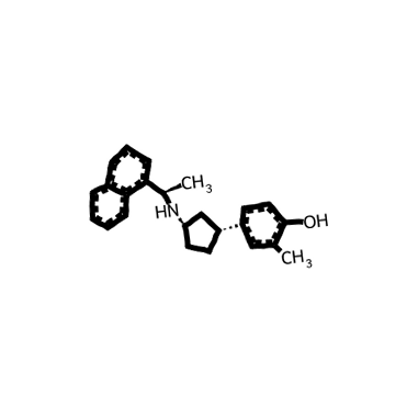 Cc1cc([C@@H]2CC[C@H](N[C@H](C)c3cccc4ccccc34)C2)ccc1O